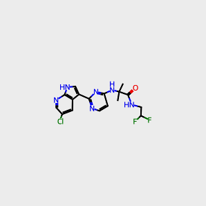 CC(C)(Nc1ccnc(-c2c[nH]c3ncc(Cl)cc23)n1)C(=O)NCC(F)F